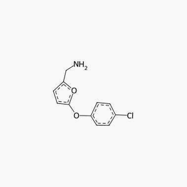 NCc1ccc(Oc2ccc(Cl)cc2)o1